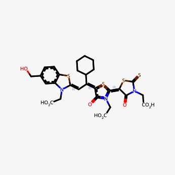 O=C(O)CN1C(=O)/C(=c2/s/c(=C(/C=C3\Sc4ccc(CO)cc4N3CC(=O)O)C3CCCCC3)c(=O)n2CC(=O)O)SC1=S